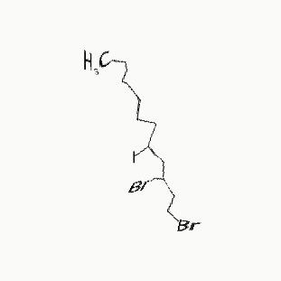 CCCCCCC(I)CC(Br)CCBr